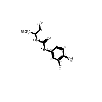 CCOC(=O)C(CC(C)C)NC(=O)Nc1ccc(O)c(Cl)c1